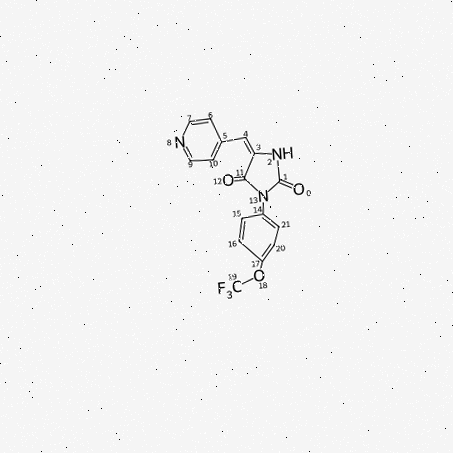 O=C1N/C(=C/c2ccncc2)C(=O)N1c1ccc(OC(F)(F)F)cc1